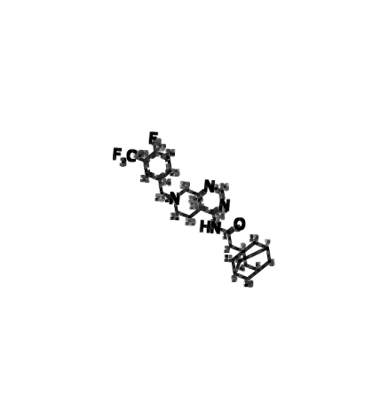 O=C(CC12CC3CC(CC(C3)C1)C2)Nc1ncnc2c1CCN(Cc1ccc(F)c(C(F)(F)F)c1)C2